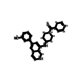 N#Cc1cccc(C2=CC3C=CNCC3C(NC3CCN(C(=O)C4C=CN=CC4)CC3)=C2)c1